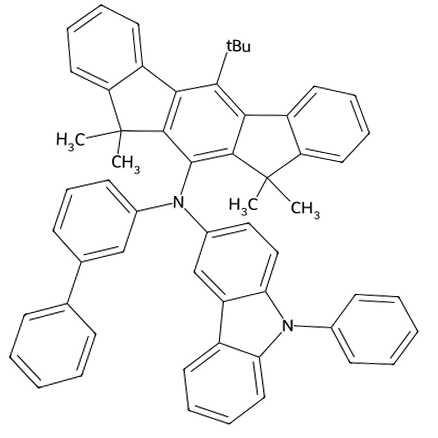 CC(C)(C)c1c2c(c(N(c3cccc(-c4ccccc4)c3)c3ccc4c(c3)c3ccccc3n4-c3ccccc3)c3c1-c1ccccc1C3(C)C)C(C)(C)c1ccccc1-2